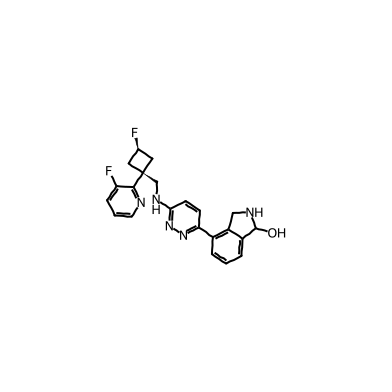 OC1NCc2c(-c3ccc(NC[C@]4(c5ncccc5F)C[C@H](F)C4)nn3)cccc21